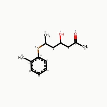 CC(=O)CC(O)CC(C)Sc1ccccc1C